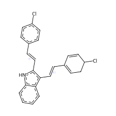 Clc1ccc(/C=C/c2[nH]c3ccccc3c2/C=C/C2=CCC(Cl)C=C2)cc1